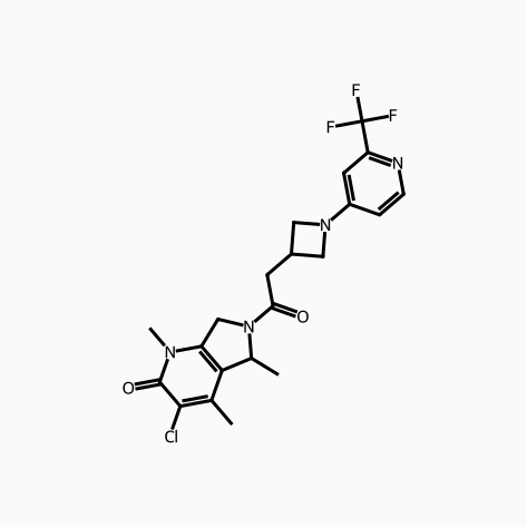 Cc1c2c(n(C)c(=O)c1Cl)CN(C(=O)CC1CN(c3ccnc(C(F)(F)F)c3)C1)C2C